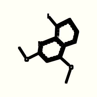 COc1cc(OC)c2cccc(I)c2n1